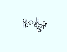 O=C(CC1CCN(C(=O)[C@H]2CCCCN2)CC1)Nc1cc(C(F)(F)F)cc(C(F)(F)F)c1